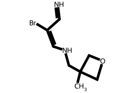 CC1(CN/C=C(/Br)C=N)COC1